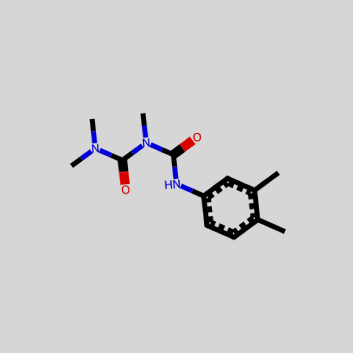 Cc1ccc(NC(=O)N(C)C(=O)N(C)C)cc1C